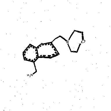 NCc1cccc2cc(CN3CCOCC3)ccc12